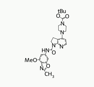 COc1cc(NC(=O)N2CCc3c(N4CCN(C(=O)OC(C)(C)C)CC4)ccnc32)cc2oc(C)nc12